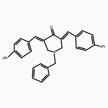 CCCc1ccc(C=C2CN(Cc3ccccc3)CC(=Cc3ccc(CCC)cc3)C2=O)cc1